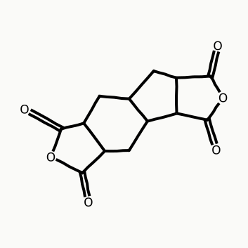 O=C1OC(=O)C2CC3C(CC12)CC1C(=O)OC(=O)C13